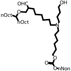 CCCCCCCCCOC(=O)OCCCCCCN(CCCCO)CCCCCCC(C=O)COC(CCCCCCCC)CCCCCCCC